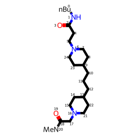 CCCCNC(=O)CCN1CCC(CCCC2CCN(CC(=O)NC)CC2)CC1